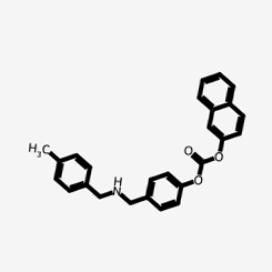 Cc1ccc(CNCc2ccc(OC(=O)Oc3ccc4ccccc4c3)cc2)cc1